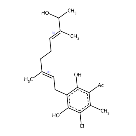 CC(=O)c1c(C)c(Cl)c(O)c(C/C=C(\C)CC/C=C(\C)C(C)O)c1O